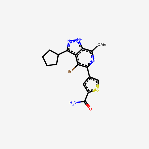 COc1nc(-c2csc(C(N)=O)c2)c(Br)c2c(C3CCCC3)n[nH]c12